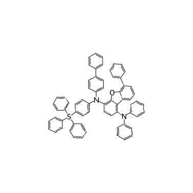 c1ccc(-c2ccc(N(c3ccc(S(c4ccccc4)(c4ccccc4)c4ccccc4)cc3)c3ccc(N(c4ccccc4)c4ccccc4)c4c3oc3c(-c5ccccc5)cccc34)cc2)cc1